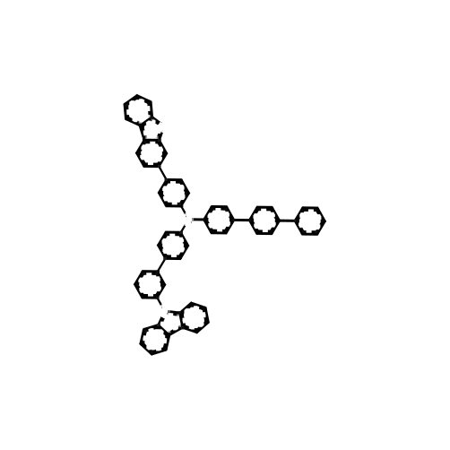 c1ccc(-c2ccc(-c3ccc(N(c4ccc(-c5cccc(-n6c7ccccc7c7ccccc76)c5)cc4)c4ccc(-c5ccc6c(c5)sc5ccccc56)cc4)cc3)cc2)cc1